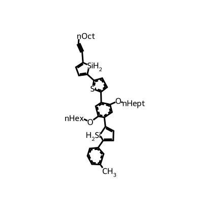 CCCCCCCCC#CC1=CC=C(c2ccc(-c3cc(OCCCCCC)c(C4=CC=C(c5cccc(C)c5)[SiH2]4)cc3OCCCCCCC)s2)[SiH2]1